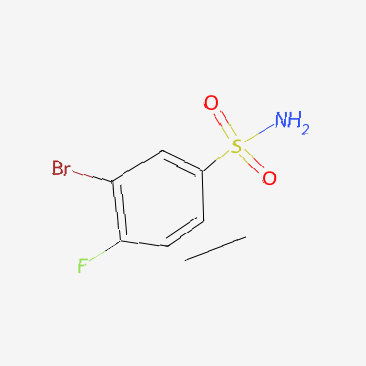 CC.NS(=O)(=O)c1ccc(F)c(Br)c1